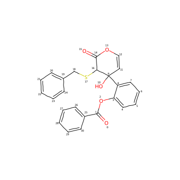 O=C(Oc1ccccc1C1(O)C=COC(=O)C1SCc1ccccc1)c1ccccc1